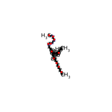 CC/C=C\C/C=C\C/C=C\C/C=C\CCCCC(=O)OC(COC(=O)CCCCCCCCCCCCC)COP(=O)(O)OCCNC